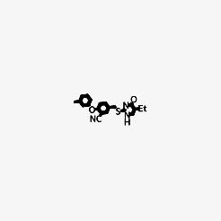 CCc1c[nH]c(SCc2ccc(Oc3cccc(C)c3)c(C#N)c2)nc1=O